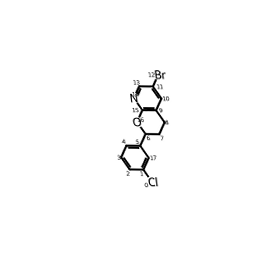 Clc1cccc(C2CCc3cc(Br)cnc3O2)c1